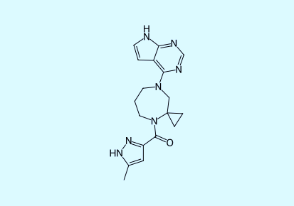 Cc1cc(C(=O)N2CCCN(c3ncnc4[nH]ccc34)CC23CC3)n[nH]1